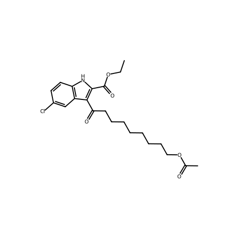 CCOC(=O)c1[nH]c2ccc(Cl)cc2c1C(=O)CCCCCCCCOC(C)=O